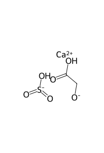 O=C(O)C[O-].O=[S-](=O)O.[Ca+2]